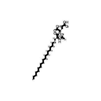 CCCCCCCCCCCCCCCCCCSC[C@@H](NC(C)=O)C(=O)N[C@@H](CCC(=O)O)C(=O)O